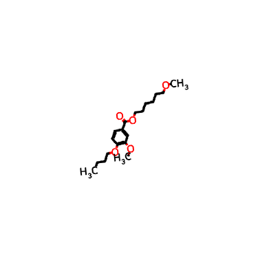 CCCCOc1ccc(C(=O)OCCCCCCOC)cc1OC